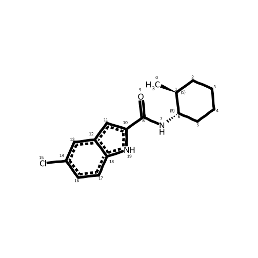 C[C@H]1CCCC[C@@H]1NC(=O)c1cc2cc(Cl)ccc2[nH]1